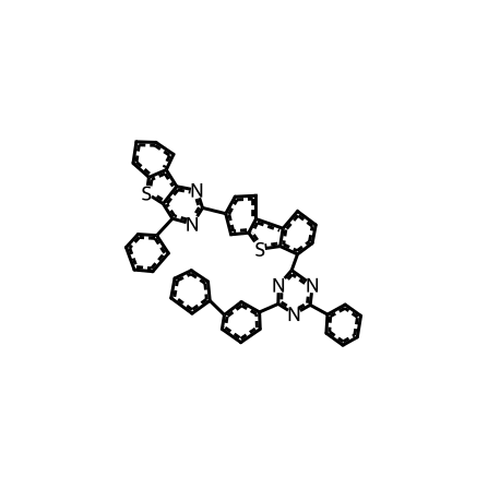 c1ccc(-c2cccc(-c3nc(-c4ccccc4)nc(-c4cccc5c4sc4cc(-c6nc(-c7ccccc7)c7sc8ccccc8c7n6)ccc45)n3)c2)cc1